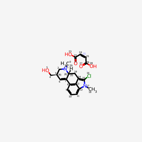 CN1C[C@H](CO)C=C2c3cccc4c3c(c(Cl)n4C)C[C@H]21.O=C(O)/C=C\C(=O)O